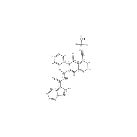 Cc1nn2cccnc2c1C(=O)NC(C)c1nc2cccc(C#CC(C)(C)O)c2c(=O)n1-c1ccccc1